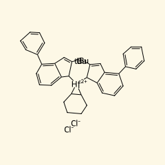 CC(C)(C)C1=Cc2c(-c3ccccc3)cccc2[CH]1[Hf+2]1([CH]2C(C(C)(C)C)=Cc3c(-c4ccccc4)cccc32)[CH]2CCCC[CH]21.[Cl-].[Cl-]